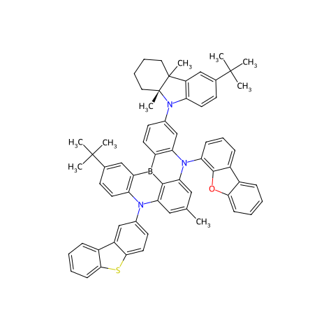 Cc1cc2c3c(c1)N(c1cccc4c1oc1ccccc14)c1cc(N4c5ccc(C(C)(C)C)cc5C5(C)CCCC[C@@]45C)ccc1B3c1cc(C(C)(C)C)ccc1N2c1ccc2sc3ccccc3c2c1